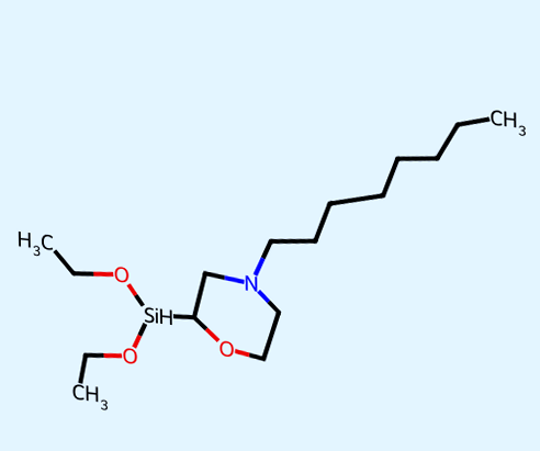 CCCCCCCCN1CCOC([SiH](OCC)OCC)C1